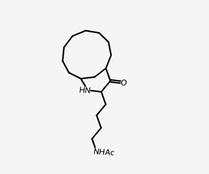 CC(=O)NCCCCC1NC2CCCCCCCCC(C2)C1=O